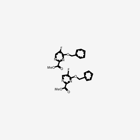 COC(=O)c1ncc(F)c(OCc2ccccc2)n1.COC(=O)c1ncc(F)c(OCc2ccccc2)n1